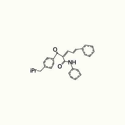 CC(C)Cc1ccc(C(=O)C(=CC=Cc2ccccc2)C(=O)Nc2ccccc2)cc1